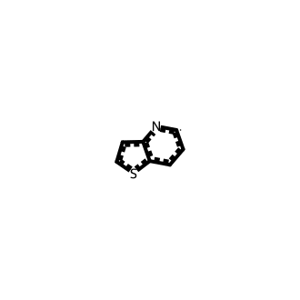 [c]1ccc2sccc2n1